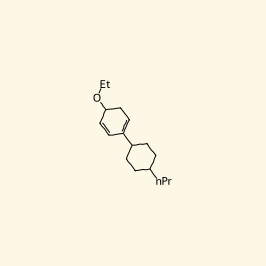 CCCC1CCC(C2=CCC(OCC)C=C2)CC1